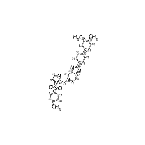 Cc1ccc(S(=O)(=O)n2ccnc2Cn2ccc3nc(-c4ccc(-c5ccc(C)c(C)c5)cc4)nc-3c2)cc1